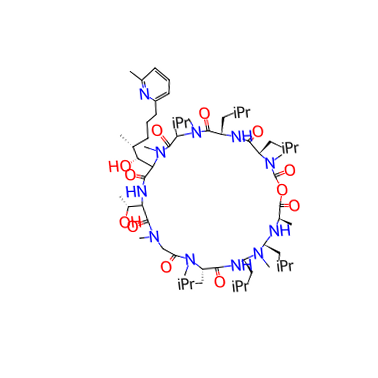 Cc1cccc(CCC[C@@H](C)[C@@H](O)C2C(=O)NC([C@@H](C)O)C(=O)N(C)CC(=O)N(C)[C@@H](CC(C)C)C(=O)N[C@H](CC(C)C)N(C)[C@H](CC(C)C)N[C@H](C)C(=O)OC(=O)N(C)[C@H](CC(C)C)C(=O)N[C@H](CC(C)C)C(=O)N(C)C(C(C)C)C(=O)N2C)n1